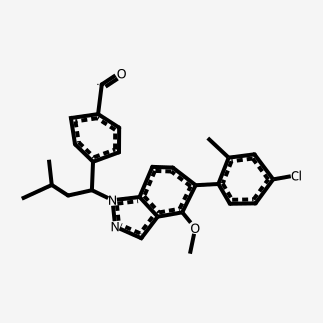 COc1c(-c2ccc(Cl)cc2C)ccc2c1cnn2C(CC(C)C)c1ccc([C]=O)cc1